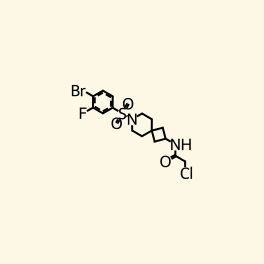 O=C(CCl)NC1CC2(CCN(S(=O)(=O)c3ccc(Br)c(F)c3)CC2)C1